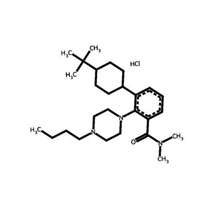 CCCCN1CCN(c2c(C(=O)N(C)C)cccc2C2CCC(C(C)(C)C)CC2)CC1.Cl